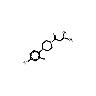 Cc1ccc(N2CCN(C(=O)CN(C)C)CC2)c(F)c1